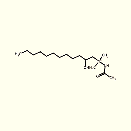 CCCCCCCCCCC(O)C[N+](C)(C)NC(C)=O